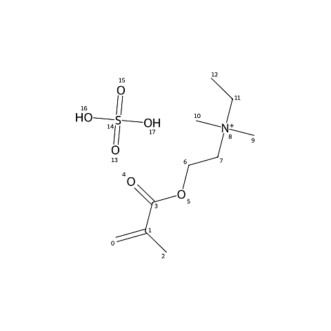 C=C(C)C(=O)OCC[N+](C)(C)CC.O=S(=O)(O)O